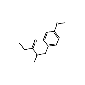 CCC(=O)N(C)Cc1ccc(OC)cc1